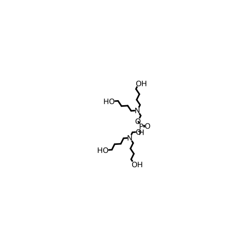 O=[PH](OCN(CCCCO)CCCCO)OCN(CCCCO)CCCCO